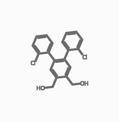 OCc1cc(-c2ccccc2Cl)c(-c2ccccc2Cl)cc1CO